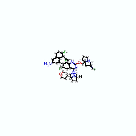 C#Cc1c(F)ccc2cc(N)cc(-c3c(F)cc4c(N5C[C@@H]6CC[C@](C7CCOCC7)(C5)N6)nc(OC[C@@]56CCCN5C/C(=C\F)C6)nc4c3F)c12